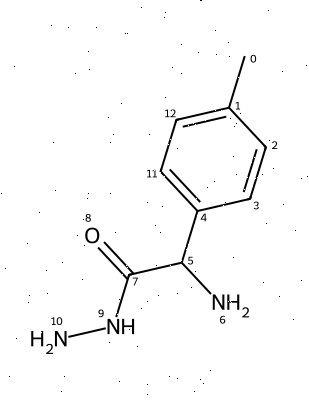 Cc1ccc(C(N)C(=O)NN)cc1